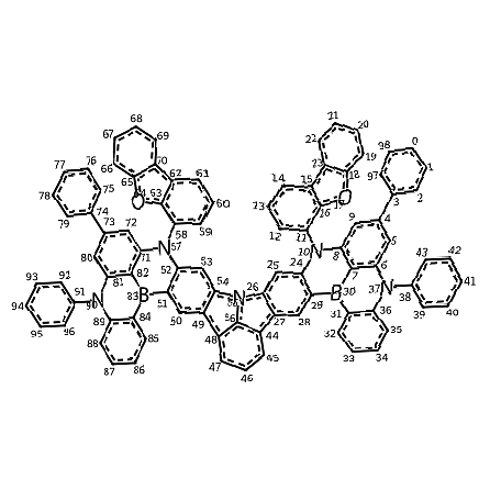 c1ccc(-c2cc3c4c(c2)N(c2cccc5c2oc2ccccc25)c2cc5c(cc2B4c2ccccc2N3c2ccccc2)c2cccc3c4cc6c(cc4n5c23)N(c2cccc3c2oc2ccccc23)c2cc(-c3ccccc3)cc3c2B6c2ccccc2N3c2ccccc2)cc1